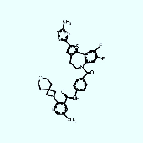 Cc1cnc(N2CC3(CCOCC3)C2)c(C(=O)Nc2ccc(C(=O)N3CCc4cc(-c5nnc(C)o5)sc4-c4cc(F)c(F)cc43)cc2)c1